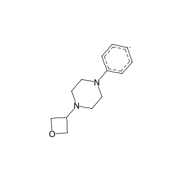 [c]1ccc(N2CCN(C3COC3)CC2)cc1